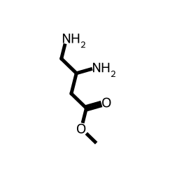 COC(=O)CC(N)CN